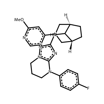 COc1cc(N2C[C@H]3CC[C@H](C2)C3Nc2nc3n(n2)CCCN3c2ccc(F)cc2)ncn1